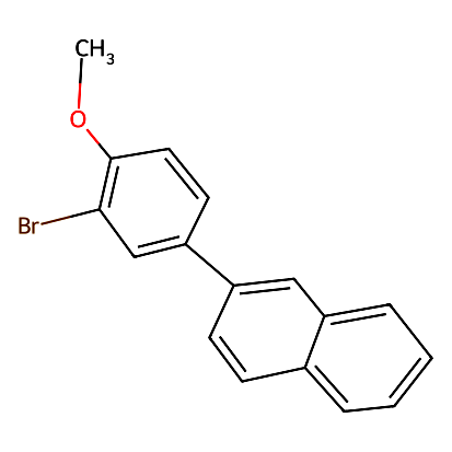 COc1ccc(-c2ccc3ccccc3c2)cc1Br